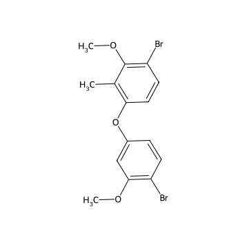 COc1cc(Oc2ccc(Br)c(OC)c2C)ccc1Br